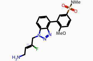 CNS(=O)(=O)c1ccc(OC)c(-c2cccc3c2nnn3C/C(F)=C/CN)c1